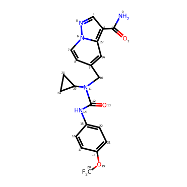 NC(=O)c1cnn2ccc(CN(C(=O)Nc3ccc(OC(F)(F)F)cc3)C3CC3)cc12